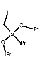 CC(C)O[Si](CI)(OC(C)C)C(C)C